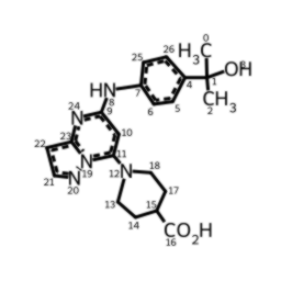 CC(C)(O)c1ccc(Nc2cc(N3CCC(C(=O)O)CC3)n3nccc3n2)cc1